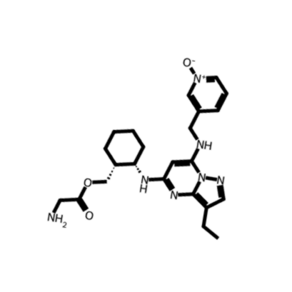 CCc1cnn2c(NCc3ccc[n+]([O-])c3)cc(N[C@H]3CCCC[C@H]3COC(=O)CN)nc12